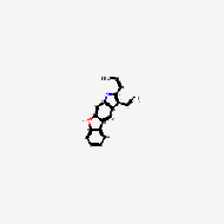 C=Cc1c(/C=C\C)[nH]c2cc3oc4ccccc4c3cc12